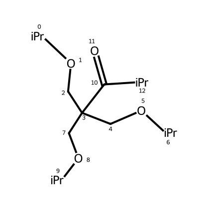 CC(C)OCC(COC(C)C)(COC(C)C)C(=O)C(C)C